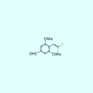 COc1cc(C=O)cc(OC)c1C=C(F)F